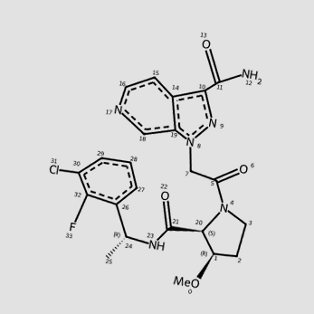 CO[C@@H]1CCN(C(=O)Cn2nc(C(N)=O)c3ccncc32)[C@@H]1C(=O)N[C@H](C)c1cccc(Cl)c1F